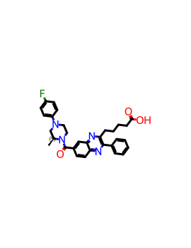 C[C@H]1CN(c2ccc(F)cc2)CCN1C(=O)c1ccc2nc(-c3ccccc3)c(CCCCC(=O)O)nc2c1